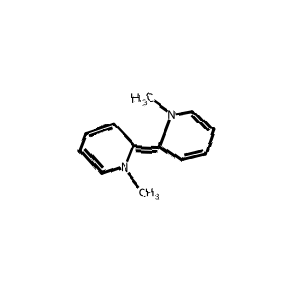 CN1C=CC=CC1=C1C=CC=CN1C